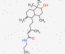 C=C1CCC2C(C(C)CC(O)C2(C)C)C1CC/C(C)=C/C(=O)NCCC